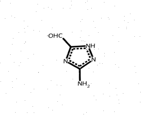 Nc1n[nH]c([C]=O)n1